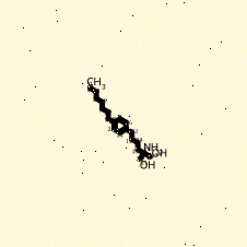 CCCCCCCCc1ccc(CCCCC(N)(CO)CO)cc1